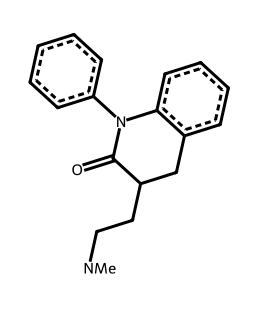 CNCCC1Cc2ccccc2N(c2ccccc2)C1=O